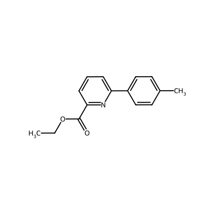 CCOC(=O)c1cccc(-c2ccc(C)cc2)n1